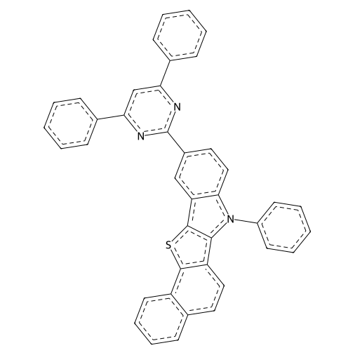 c1ccc(-c2cc(-c3ccccc3)nc(-c3ccc4c(c3)c3sc5c6ccccc6ccc5c3n4-c3ccccc3)n2)cc1